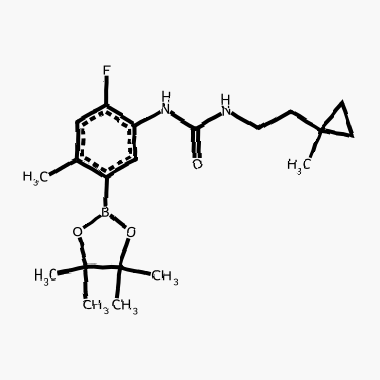 Cc1cc(F)c(NC(=O)NCCC2(C)CC2)cc1B1OC(C)(C)C(C)(C)O1